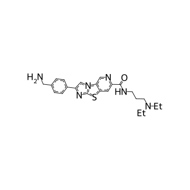 CCN(CC)CCCNC(=O)c1cc2sc3nc(-c4ccc(CN)cc4)cn3c2cn1